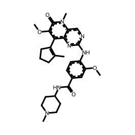 COc1cc(C(=O)NC2CCN(C)CC2)ccc1Nc1ncc2c(n1)c(C1=C(C)CCC1)c(OC)c(=O)n2C